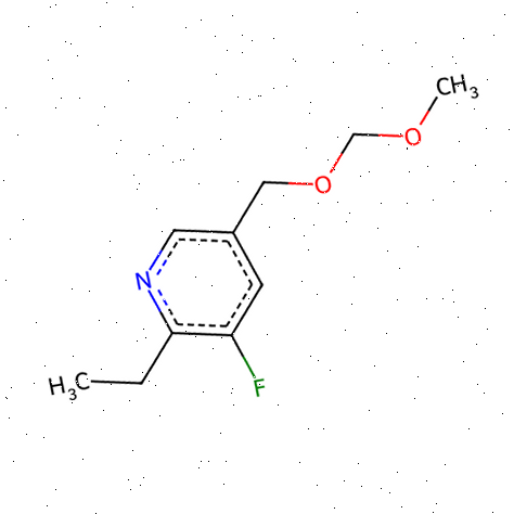 CCc1ncc(COCOC)cc1F